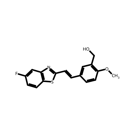 COc1ccc(/C=C/c2nc3cc(F)ccc3s2)cc1CO